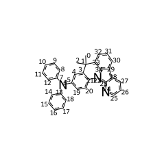 CC1(C)c2cc(N(c3ccccc3)c3ccccc3)ccc2-n2c3ncccc3c3cccc1c32